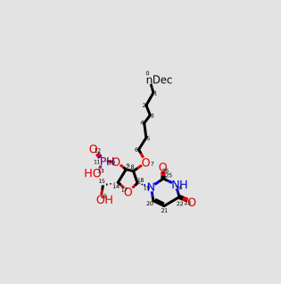 CCCCCCCCCCCCCCCCOC1C(O[PH](=O)O)[C@@H](CO)O[C@H]1n1ccc(=O)[nH]c1=O